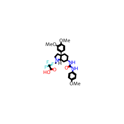 COc1ccc(NC(=O)N[C@@H]2CC[C@@]3(c4ccc(OC)c(OC)c4)CCN(C)[C@H]3C2)cc1.O=C(O)C(F)(F)F